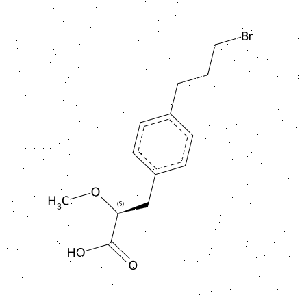 CO[C@@H](Cc1ccc(CCCBr)cc1)C(=O)O